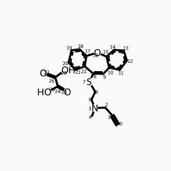 C#CCN(C)CCSC1=Cc2ccccc2Oc2ccccc21.O=C(O)C(=O)O